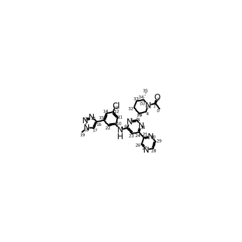 CC(=O)N1C[C@H](c2nc(Nc3cc(Cl)cc(-c4cn(C)nn4)c3)cc(-c3cnccn3)n2)CC[C@@H]1C